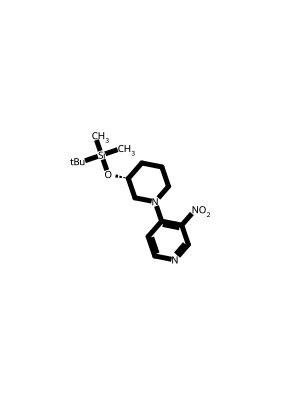 CC(C)(C)[Si](C)(C)O[C@@H]1CCCN(c2ccncc2[N+](=O)[O-])C1